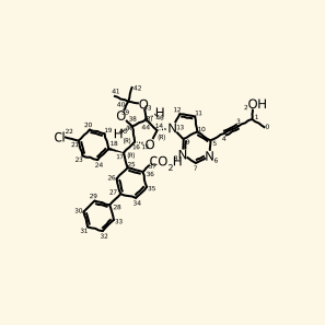 CC(O)C#Cc1ncnc2c1ccn2[C@@H]1O[C@H]([C@H](c2ccc(Cl)cc2)c2cc(-c3ccccc3)ccc2C(=O)O)[C@H]2OC(C)(C)O[C@H]21